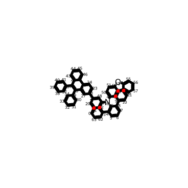 c1ccc(-c2cccc(-c3ccccc3)c2N(c2cccc(-c3ccc4c(c3)c(-c3ccccc3)c(-c3ccccc3)c3ccccc34)c2)c2ccc3oc4ccccc4c3c2)cc1